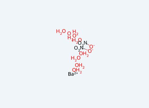 O.O.O.O.O.O.O.O.O=[N+]([O-])[O-].O=[N+]([O-])[O-].[Ba+2]